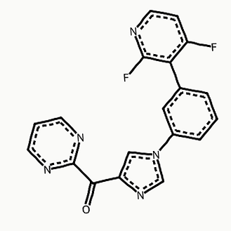 O=C(c1cn(-c2cccc(-c3c(F)ccnc3F)c2)cn1)c1ncccn1